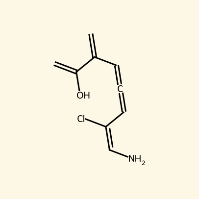 C=C(O)C(=C)C=C=C/C(Cl)=C\N